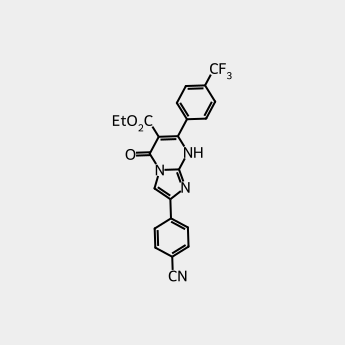 CCOC(=O)c1c(-c2ccc(C(F)(F)F)cc2)[nH]c2nc(-c3ccc(C#N)cc3)cn2c1=O